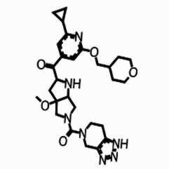 COC12CC(C(=O)c3cc(OCC4CCOCC4)nc(C4CC4)c3)NC1CN(C(=O)N1CCc3[nH]nnc3C1)C2